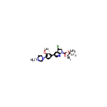 COc1cc(-c2cnc3c(c2)c(Br)cn3C(=O)OC(C)(C)C)ccc1N1CCN(C)CC1